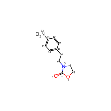 O=C1OCCN1CCc1ccc([N+](=O)[O-])cc1